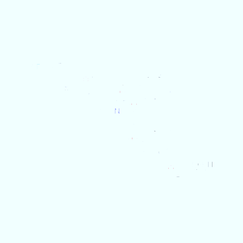 CCOC(Cc1ccc(OCCN(CCCOc2ccc(F)cc2)C(=O)OC2CCCCC2)cc1)C(=O)O